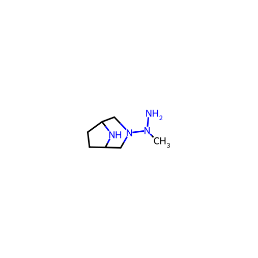 CN(N)N1CC2CCC(C1)N2